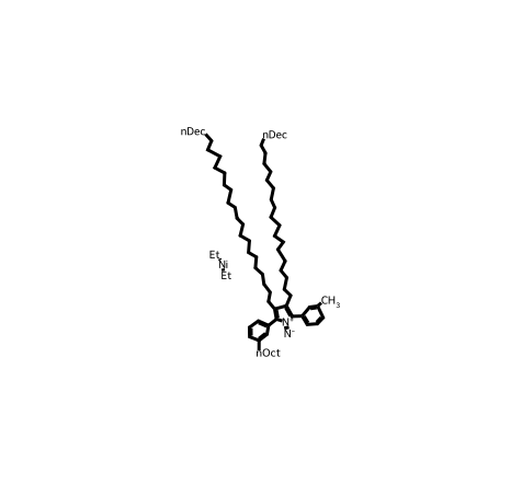 CCCCCCCCCCCCCCCCCCCCCCCCCCCCCCC1=C(c2cccc(CCCCCCCC)c2)[N+](=[N-])C(c2cccc(C)c2)=C1CCCCCCCCCCCCCCCCCCCCCCCCCCCC.C[CH2][Ni][CH2]C